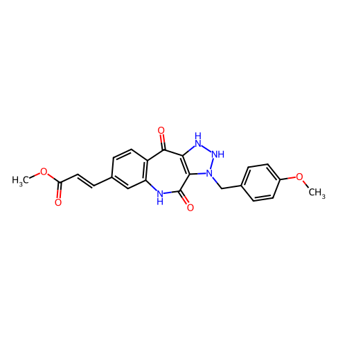 COC(=O)/C=C/c1ccc2c(=O)c3c(c(=O)[nH]c2c1)N(Cc1ccc(OC)cc1)NN3